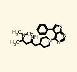 CC(CC(=N)CC1CCN(c2ncnc3scc(-c4ccccc4)c23)CC1)N(C)C